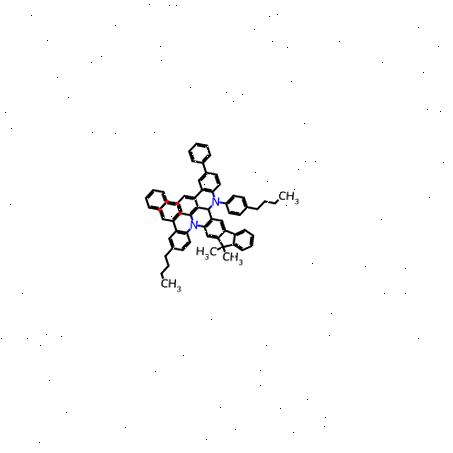 CCCCc1ccc(N2c3ccc(-c4ccccc4)cc3-c3cc(-c4ccccc4)cc4c3C2c2cc3c(cc2N4c2ccc(CCCC)cc2-c2ccccc2)C(C)(C)c2ccccc2-3)cc1